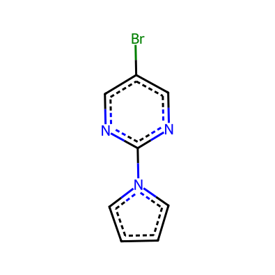 Brc1cnc(-n2cccc2)nc1